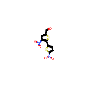 O=Cc1cc([N+](=O)[O-])c(-c2ccc([N+](=O)[O-])s2)s1